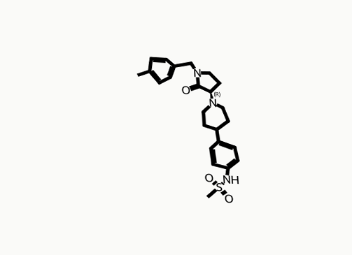 Cc1ccc(CN2CC[C@@H](N3CCC(c4ccc(NS(C)(=O)=O)cc4)CC3)C2=O)cc1